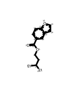 CCC(CC)CCOC(=O)c1ccc2occc2c1